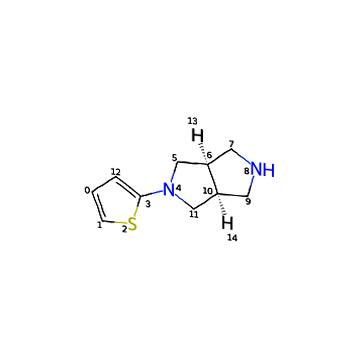 c1csc(N2C[C@H]3CNC[C@H]3C2)c1